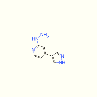 NNc1cc(-c2cn[nH]c2)ccn1